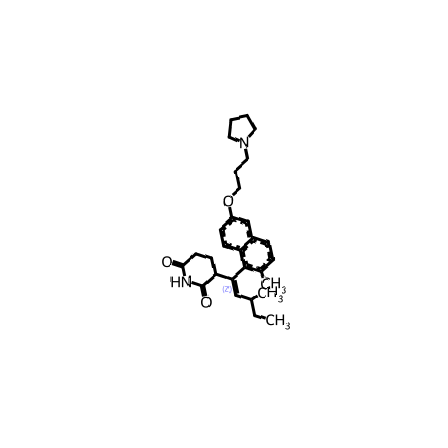 CCC(C)/C=C(\c1c(C)ccc2cc(OCCCN3CCCC3)ccc12)C1CCC(=O)NC1=O